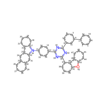 c1ccc(-c2cccc(-c3nc(-c4ccc(-n5c6ccccc6c6cc7ccccc7cc65)cc4)nc(-c4cccc5oc6ccccc6c45)n3)c2)cc1